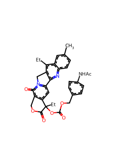 CCc1c2c(nc3ccc(C)cc13)-c1cc3c(c(=O)n1C2)COC(=O)C3(CC)OC(=O)OCc1ccc(NC(C)=O)cc1